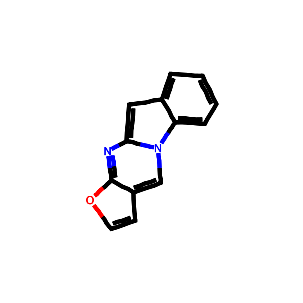 c1ccc2c(c1)cc1nc3occc3cn12